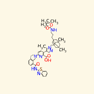 Cc1c(-c2ccc(N3CCc4cccc(C(=O)Nc5nc6ccccc6s5)c4C3)nc2C(=O)O)cnn1CC12CC3(C)CC(C)(CC(CCCNC(=O)OC(C)(C)C)(C3)C1)C2